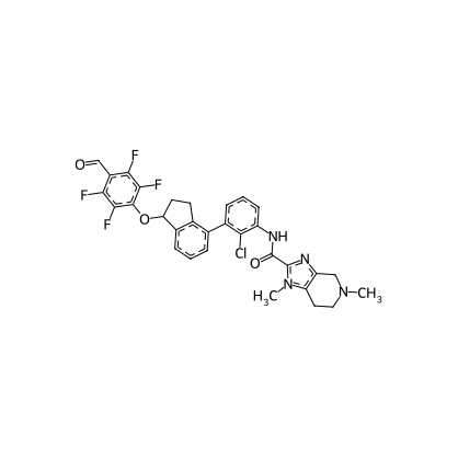 CN1CCc2c(nc(C(=O)Nc3cccc(-c4cccc5c4CCC5Oc4c(F)c(F)c(C=O)c(F)c4F)c3Cl)n2C)C1